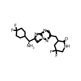 N[C@H](c1cn2nc(CC3CC(F)(F)CNC3=O)cnc2n1)C1CCC(F)(F)CC1